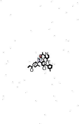 C=CC(=O)N1CCN(/C(=N/C)c2cc(Cl)c(-c3cc(C)ccc3F)nc2N(C=O)c2c(C)ccnc2C(C)C)C(C)C1